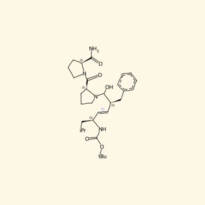 CC(C)C[C@@H](/C=C/[C@H](Cc1ccccc1)C(O)N1CCC[C@H]1C(=O)N1CCC[C@H]1C(N)=O)NC(=O)OC(C)(C)C